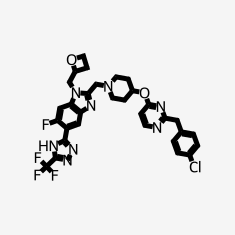 Fc1cc2c(cc1-c1nnc(C(F)(F)F)[nH]1)nc(CN1CCC(Oc3ccnc(Cc4ccc(Cl)cc4)n3)CC1)n2CC1CCO1